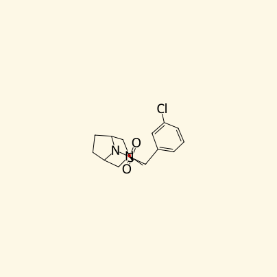 CN1CC2CCC(C1)N2S(=O)(=O)Cc1cccc(Cl)c1